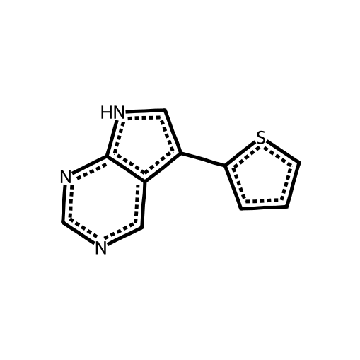 c1csc(-c2c[nH]c3ncncc23)c1